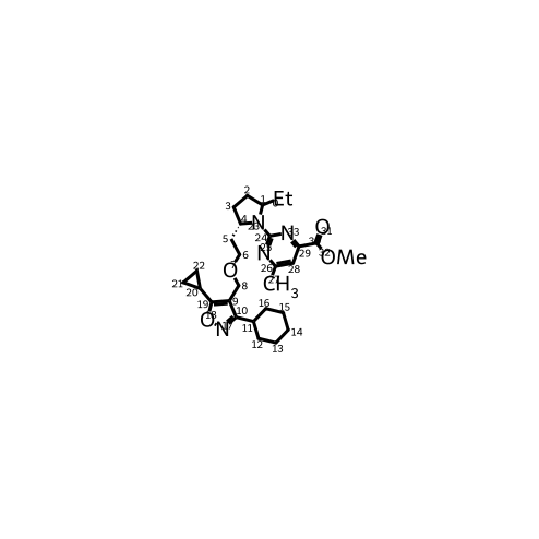 CCC1CC[C@@H](CCOCc2c(C3CCCCC3)noc2C2CC2)N1c1nc(C)cc(C(=O)OC)n1